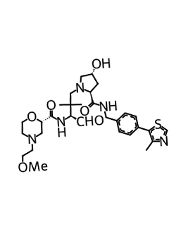 COCCN1CCO[C@H](C(=O)N[C@H](C=O)C(C)(C)CN2C[C@H](O)C[C@H]2C(=O)NCc2ccc(-c3scnc3C)cc2)C1